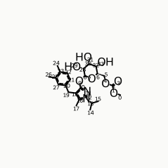 COC(=O)OC[C@H]1O[C@@H](Oc2nn(C(C)C)c(C)c2Cc2ccc(C)c(C)c2)[C@H](O)[C@@H](O)[C@@H]1O